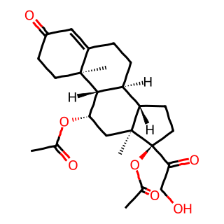 CC(=O)O[C@H]1C[C@@]2(C)[C@@H](CC[C@]2(OC(C)=O)C(=O)CO)[C@@H]2CCC3=CC(=O)CC[C@]3(C)[C@H]21